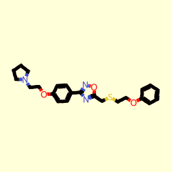 c1ccc(OCCSCc2nc(-c3ccc(OCCN4CCCC4)cc3)no2)cc1